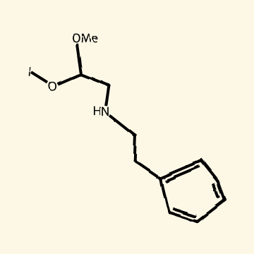 COC(CNCCc1ccccc1)OI